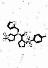 Cc1ccc(S(=O)(=O)N2CCCC2C(=O)N(Cc2ccco2)C2CCS(=O)(=O)C2)cc1